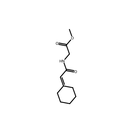 COC(=O)CNC(=O)C=C1CCCCC1